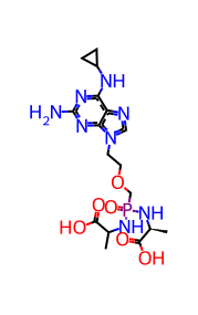 CC(NP(=O)(COCCn1cnc2c(NC3CC3)nc(N)nc21)N[C@@H](C)C(=O)O)C(=O)O